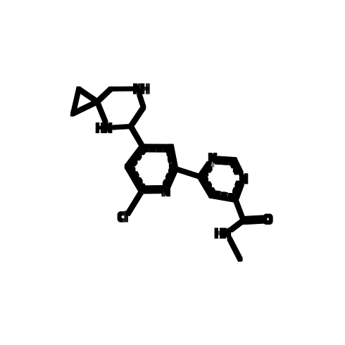 CNC(=O)c1cc(-c2cc(C3CNCC4(CC4)N3)cc(Cl)n2)ncn1